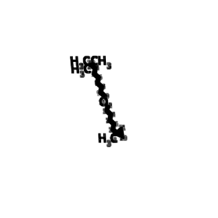 CC(C)(C)CCCCCCCOCCCCCCC1(C)CC1